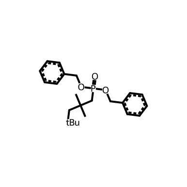 CC(C)(C)CC(C)(C)CP(=O)(OCc1ccccc1)OCc1ccccc1